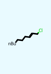 CCCCCCCC=CCCl